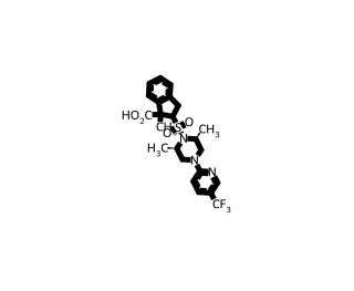 C[C@@H]1CN(c2ccc(C(F)(F)F)cn2)C[C@H](C)N1S(=O)(=O)C1Cc2ccccc2C1(C)C(=O)O